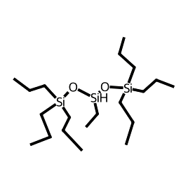 CCC[Si](CCC)(CCC)O[SiH](CC)O[Si](CCC)(CCC)CCC